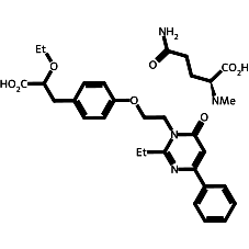 CCOC(Cc1ccc(OCCn2c(CC)nc(-c3ccccc3)cc2=O)cc1)C(=O)O.CN[C@@H](CCC(N)=O)C(=O)O